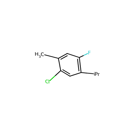 Cc1cc(F)c(C(C)C)cc1Cl